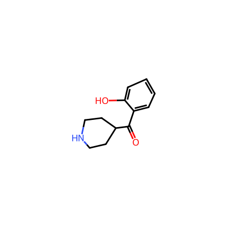 O=C(c1ccccc1O)C1CCNCC1